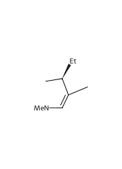 CC[C@H](C)/C(C)=C\NC